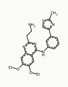 CCOc1cc2nc(CCN)nc(Nc3cccc(-c4csc(C)n4)c3)c2cc1OCC